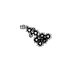 CC(C)(C)c1ccc2c(=O)c3cc(N4c5ccccc5C(c5ccccc5)(c5ccccc5)c5c4ccc4c5C(C)(C)c5ccccc5-4)ccc3oc2c1